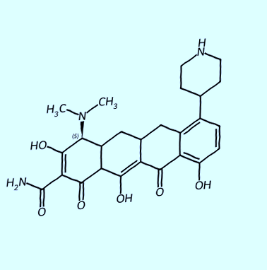 CN(C)[C@@H]1C(O)=C(C(N)=O)C(=O)C2C(O)=C3C(=O)c4c(O)ccc(C5CCNCC5)c4CC3CC21